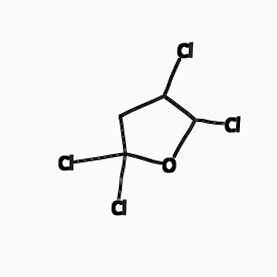 ClC1CC(Cl)(Cl)OC1Cl